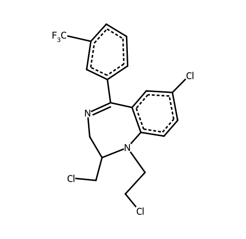 FC(F)(F)c1cccc(C2=NCC(CCl)N(CCCl)c3ccc(Cl)cc32)c1